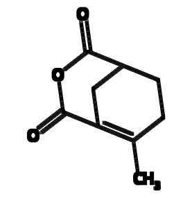 CC1=C2CC(CC1)C(=O)OC2=O